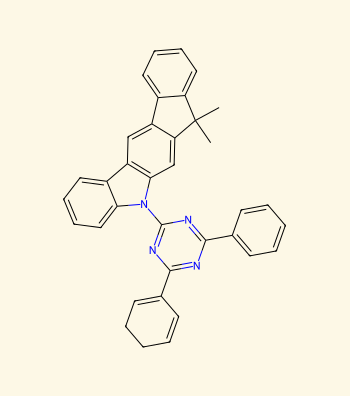 CC1(C)c2ccccc2-c2cc3c4ccccc4n(-c4nc(C5=CCCC=C5)nc(-c5ccccc5)n4)c3cc21